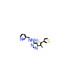 Cc1c(-c2ccsc2)sc2c(NN=Cc3cccnc3)ncnc12